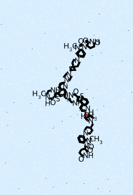 C[C@@H]1CNc2c(sc3c(C[C@@H]4CNc5c(sc6ccc7nc(N8CC9[C@@H](C)[C@@H]8CN9CC8CCN(c9cccc%10c9n(C)c(=O)n%10C9CCC(=O)NC9=O)CC8)ccc7c56)C(=O)N4)cc4nc(N5CCN(C6CC7(CCN(c8ccc9c(c8)n(C)c(=O)n9C8CCC(=O)NC8=O)CC7)C6)CC5)ccc4c23)C(=O)N1